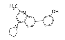 Cc1cc(N2CCCC2)c2ccc(-c3cccc(O)c3)cc2n1